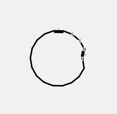 C1=C\SS/N=N/CCCCCCCCCCCC/1